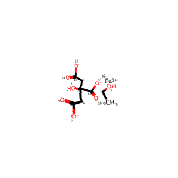 CCO.O=C([O-])CC(O)(CC(=O)[O-])C(=O)[O-].[Fe+3]